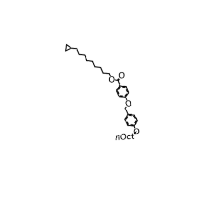 CCCCCCCCOc1ccc(COc2ccc(C(=O)OCCCCCCCCCC3CC3)cc2)cc1